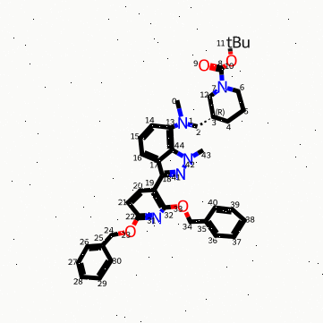 CN(C[C@H]1CCCN(C(=O)OC(C)(C)C)C1)c1cccc2c(-c3ccc(OCc4ccccc4)nc3OCc3ccccc3)nn(C)c12